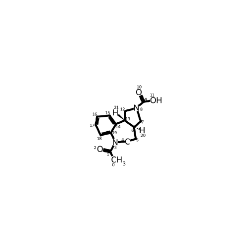 CC(=O)N1CC[C@@H]2CN(C(=O)O)C[C@H]2c2ccccc21